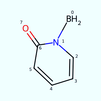 Bn1ccccc1=O